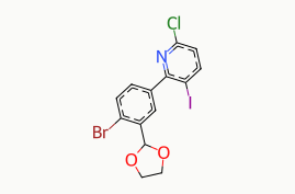 Clc1ccc(I)c(-c2ccc(Br)c(C3OCCO3)c2)n1